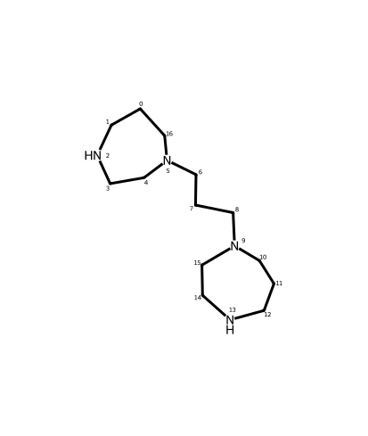 C1CNCCN(CCCN2CCCNCC2)C1